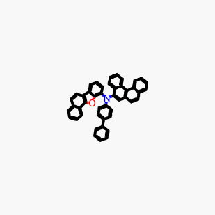 c1ccc(-c2ccc(N(c3cc4ccc5ccccc5c4c4ccccc34)c3cccc4c3oc3c5ccccc5ccc43)cc2)cc1